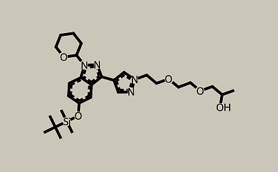 CC(O)COCCOCCn1cc(-c2nn(C3CCCCO3)c3ccc(O[Si](C)(C)C(C)(C)C)cc23)cn1